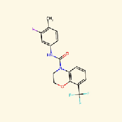 Cc1ccc(NC(=O)N2CCOc3c2cccc3C(F)(F)F)cc1I